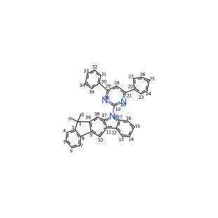 CC1(C)c2ccccc2-c2cc3c4ccccc4n(-c4nc(-c5ccccc5)cc(-c5ccccc5)n4)c3cc21